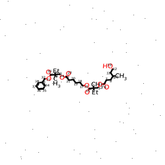 CCC(C)(COC(=O)CCC(C)CCO)C(=O)OCCCCCC(=O)OCC(C)(CC)C(=O)OCc1ccccc1